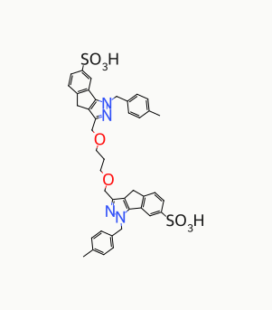 Cc1ccc(Cn2nc(COCCCOCc3nn(Cc4ccc(C)cc4)c4c3Cc3ccc(S(=O)(=O)O)cc3-4)c3c2-c2cc(S(=O)(=O)O)ccc2C3)cc1